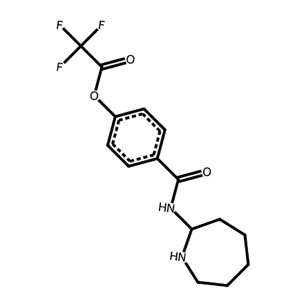 O=C(NC1CCCCCN1)c1ccc(OC(=O)C(F)(F)F)cc1